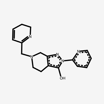 Oc1c2c(nn1-c1ccccn1)CN(CC1=NCCC=C1)CC2